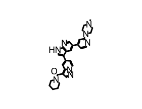 CN1CCN(c2cc(-c3cnc4[nH]cc(-c5ccn6ncc(C(=O)N7CCCCC7)c6c5)c4c3)ccn2)CC1